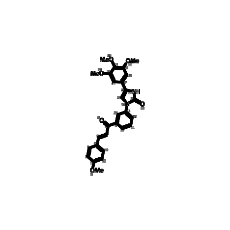 COc1ccc(/C=C/C(=O)c2cccc(-n3cc(-c4cc(OC)c(OC)c(OC)c4)[nH]c3=O)c2)cc1